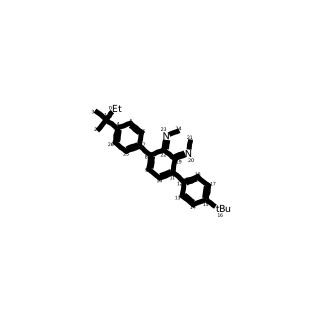 CCC(C)(C)c1ccc(C2=CC=C(c3ccc(C(C)(C)C)cc3)C(=N/C)/C2=N\C)cc1